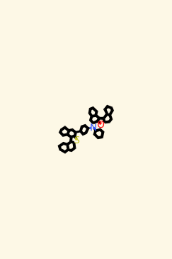 c1ccc(N(c2ccc(-c3cc4ccccc4c4c3sc3ccc5ccccc5c34)cc2)c2cc3ccccc3c3c2oc2ccc4ccccc4c23)cc1